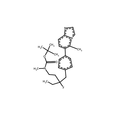 CCC(F)(CCN(C)C(=O)OC(C)(C)C)Cc1ccc(-c2ccc3nccn3c2C)cc1